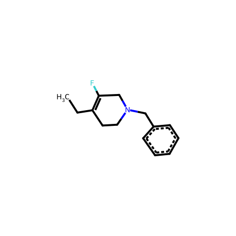 CCC1=C(F)CN(Cc2ccccc2)CC1